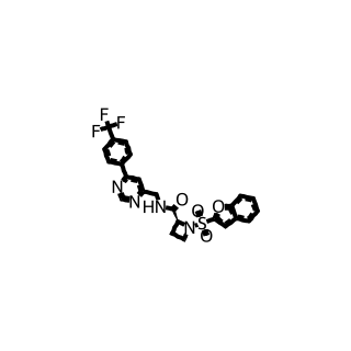 O=C(NCc1cc(-c2ccc(C(F)(F)F)cc2)ncn1)[C@@H]1CCN1S(=O)(=O)c1cc2ccccc2o1